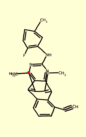 C#Cc1cccc2c3c(OC)c(OC)c(c4nc(Nc5cc(C)ccc5F)nc(N)c43)c12